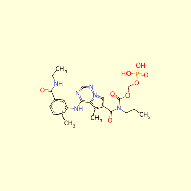 CCCN(C(=O)OCOP(=O)(O)O)C(=O)c1cn2ncnc(Nc3cc(C(=O)NCC)ccc3C)c2c1C